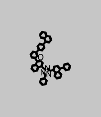 c1ccc(-c2nc(-c3ccc(-c4ccccc4)c4ccccc34)nc(-c3cc4oc5c(-c6ccc(-c7cccc8ccccc78)cc6)cccc5c4c4ccccc34)n2)cc1